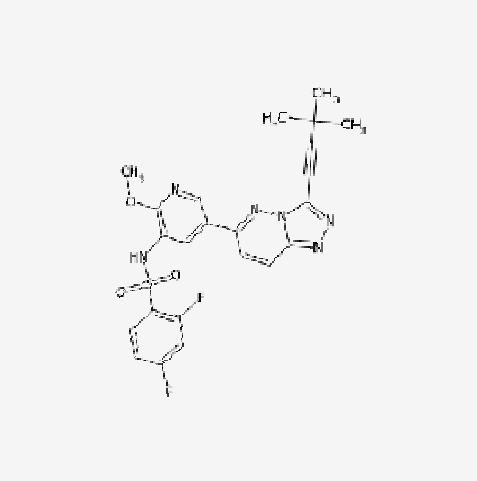 COc1ncc(-c2ccc3nnc(C#CC(C)(C)C)n3n2)cc1NS(=O)(=O)c1ccc(F)cc1F